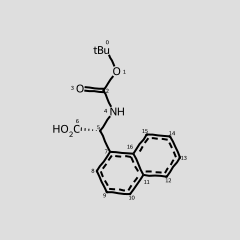 CC(C)(C)OC(=O)N[C@@H](C(=O)O)c1cccc2ccccc12